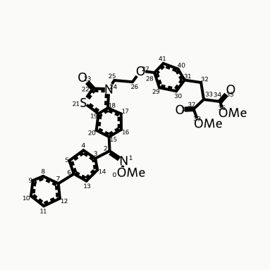 CON=C(c1ccc(-c2ccccc2)cc1)c1ccc2c(c1)sc(=O)n2CCOc1ccc(CC(C(=O)OC)C(=O)OC)cc1